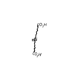 Cl.Cl.O=C(O)CCCCCCCCCCCCCCCCCCCC(=O)O